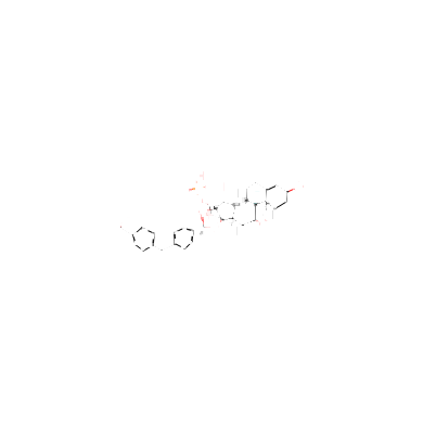 C[C@]12C=CC(=O)C=C1CC[C@H]1[C@@H]3C[C@H]4O[C@@H](c5ccc(Cc6ccc(CO)cc6)cc5)O[C@@]4(C(=O)COP(=O)(O)O)[C@@]3(C)C[C@H](O)[C@@]12F